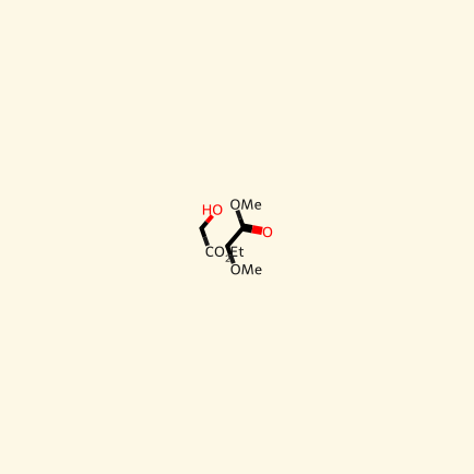 CCOC(=O)CO.COCC(=O)OC